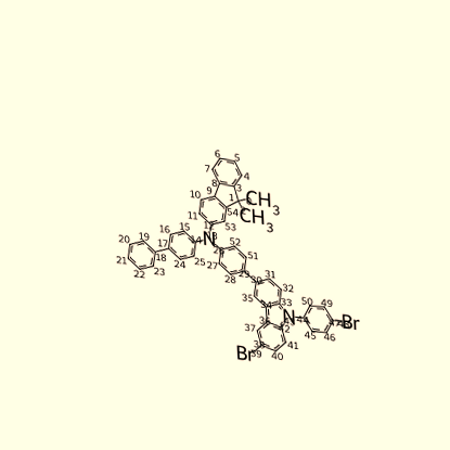 CC1(C)c2ccccc2-c2ccc(N(c3ccc(-c4ccccc4)cc3)c3ccc(-c4ccc5c(c4)c4cc(Br)ccc4n5-c4ccc(Br)cc4)cc3)cc21